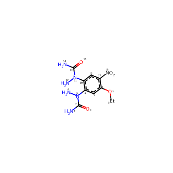 CCOc1cc(N(N)C(N)=O)c(N(N)C(N)=O)cc1[N+](=O)[O-]